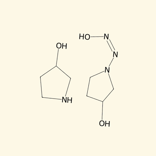 O/N=N\N1CCC(O)C1.OC1CCNC1